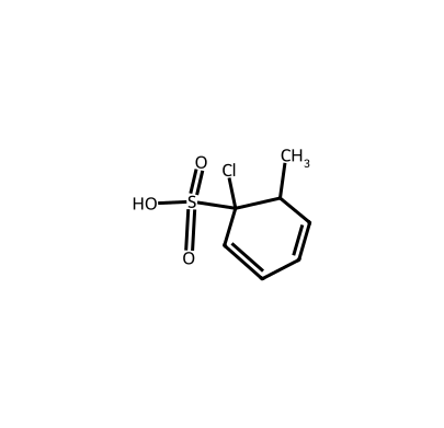 CC1C=CC=CC1(Cl)S(=O)(=O)O